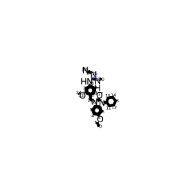 CCOc1ccc2c(c1)n(C1CCCCC1)c(=O)n2Cc1ccc(N/C(=N\C#N)NC)cc1OC